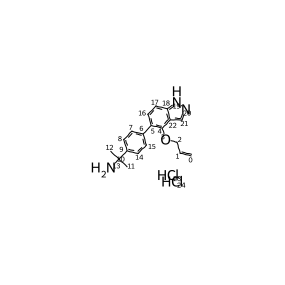 C=CCOc1c(-c2ccc(C(C)(C)N)cc2)ccc2[nH]ncc12.Cl.Cl